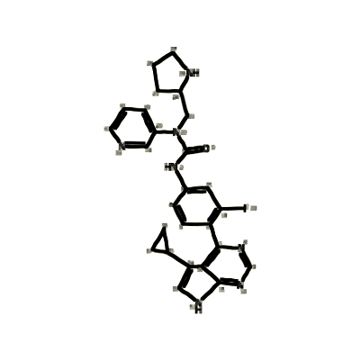 O=C(Nc1ccc(-c2ncnc3[nH]cc(C4CC4)c23)c(F)c1)N(CC1CCCN1)c1cccnc1